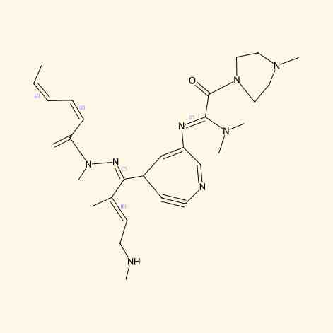 C=C(/C=C\C=C/C)N(C)/N=C(\C(C)=C\CNC)C1C#CN=CC(/N=C(/C(=O)N2CCN(C)CC2)N(C)C)=C1